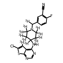 [2H]c1c(Cl)sc2ncnc(N([2H])C3([2H])C([2H])([2H])C([2H])([2H])N(C([2H])c4ccc(F)c(C#N)c4)C([2H])([2H])C3([2H])[2H])c12